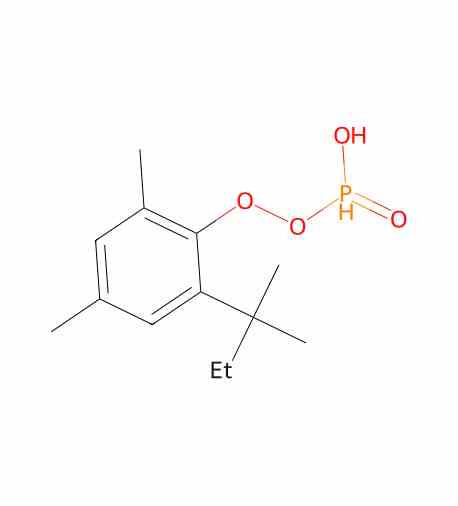 CCC(C)(C)c1cc(C)cc(C)c1OO[PH](=O)O